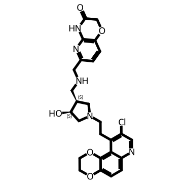 O=C1COc2ccc(CNC[C@H]3CN(CCc4c(Cl)cnc5ccc6c(c45)OCCO6)C[C@H]3O)nc2N1